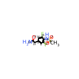 CS(=O)(=O)Nc1c(F)cc([CH]C(N)=O)cc1F